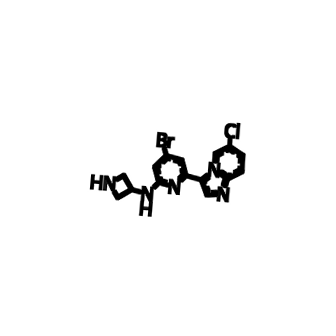 Clc1ccc2ncc(-c3cc(Br)cc(NC4CNC4)n3)n2c1